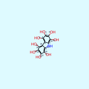 Oc1c(O)c(O)c2c([nH]c3c(O)c(O)c(O)c(O)c32)c1O